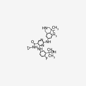 CC(C)(O)c1cc(Nc2nc(Nc3ccc4c(c3)CNCC4(C)C)ncc2C(=O)NC2CC2)ccc1F